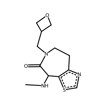 CNC1C(=O)N(CC2COC2)CCc2ncsc21